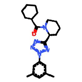 Cc1cc(C)cc(-n2nnc(C3CCCCN3C(=O)C3CCCCC3)n2)c1